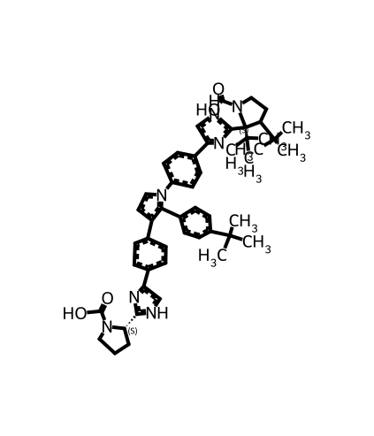 CC(C)(C)c1ccc(-c2c(-c3ccc(-c4c[nH]c([C@@H]5CCCN5C(=O)O)n4)cc3)ccn2-c2ccc(-c3c[nH]c([C@@]4(C(C)(C)C)C(C(C)(C)C)CCN4C(=O)O)n3)cc2)cc1